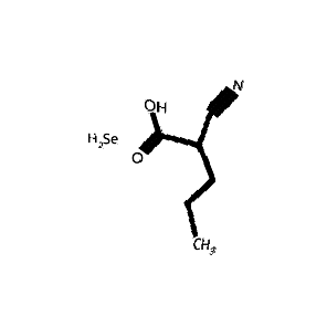 CCCC(C#N)C(=O)O.[SeH2]